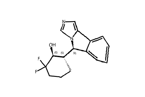 O[C@H]1[C@H]([C@@H]2c3ccccc3-c3cncn32)CCCC1(F)F